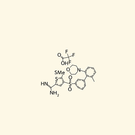 CSc1sc(C(=N)N)cc1S(=O)(=O)c1cccc(-c2c(C)cccc2N2CCOCC2)c1.O=C(O)C(F)(F)F